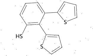 Sc1cccc(-c2cccs2)c1-c1cccs1